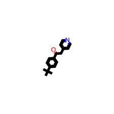 CC(C)(C)c1ccc(C(=O)Cc2ccncc2)cc1